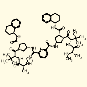 CN[C@@H](C)C(=O)N[C@H](C(=O)N1C[C@@H](NC(=O)c2cccc(C(=O)N[C@H]3C[C@@H](C(=O)N[C@@H]4CCCc5ccccc54)N(C(=O)[C@@H](NC(=O)[C@H](C)NC)C(C)(C)C)C3)n2)C[C@H]1C(=O)NC1CCCc2ccccc21)C(C)(C)C